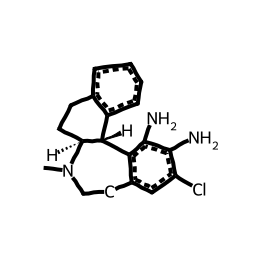 CN1CCc2cc(Cl)c(N)c(N)c2[C@H]2c3ccccc3CC[C@@H]21